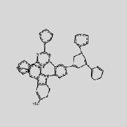 CC(C)(C)C1=Cc2c(n(-c3ccc(C4=CC(C5=CCCC=C5)=CC(c5ccccc5)C4)cc3-c3nc(-c4ccccc4)nc(-c4ccccc4)n3)c3ccc(C(C)(C)C)cc23)CC1